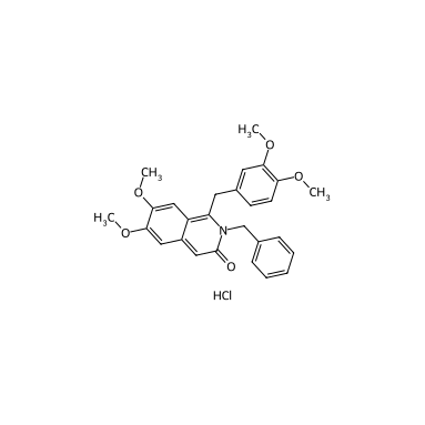 COc1ccc(Cc2c3cc(OC)c(OC)cc3cc(=O)n2Cc2ccccc2)cc1OC.Cl